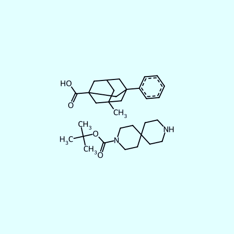 CC(C)(C)OC(=O)N1CCC2(CCNCC2)CC1.CC12CC3CC(C(=O)O)(C1)CC(c1ccccc1)(C3)C2